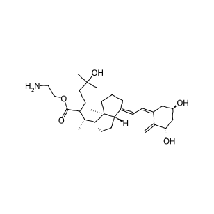 C=C1/C(=C\C=C2/CCC[C@]3(C)[C@@H]([C@H](C)C(CCC(C)(C)O)C(=O)OCCN)CC[C@@H]23)C[C@@H](O)C[C@@H]1O